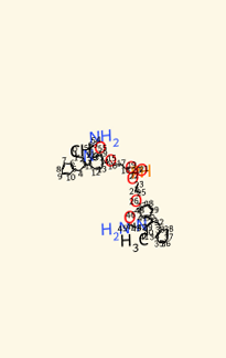 CCc1c(Cc2ccccc2)c2ccc(OCCCO[PH](=O)OCCCOc3ccc4c(Cc5ccccc5)c(CC)n(CC(N)=O)c4c3)cc2n1CC(N)=O